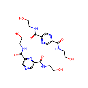 O=C(NCCO)c1cnc(C(=O)NCCO)cn1.O=C(NCCO)c1cncc(C(=O)NCCO)n1